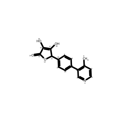 Cc1ccncc1-c1ccc(C2OC(=O)C(O)=C2O)cc1